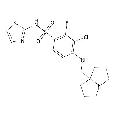 O=S(=O)(Nc1nncs1)c1ccc(NCC23CCCN2CCC3)c(Cl)c1F